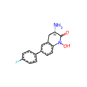 N[C@H]1Cc2cc(-c3ccc(F)cc3)ccc2N(O)C1=O